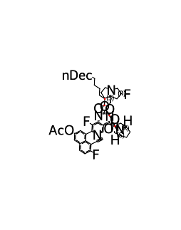 C#Cc1c(F)ccc2cc(OC(C)=O)cc(-c3ncc4c(N5C[C@H]6CC[C@@H](C5)N6C(=O)OCOC(=O)CCCCCCCCCCCCCCC)nc(OC[C@@]56CCCN5C[C@H](F)C6)nc4c3F)c12